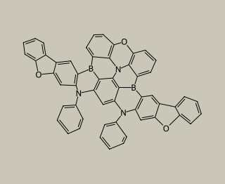 c1ccc(N2c3cc4oc5ccccc5c4cc3B3c4cccc5c4N4c6c(cccc6B6c7cc8c(cc7N(c7ccccc7)c7cc2c3c4c76)oc2ccccc28)O5)cc1